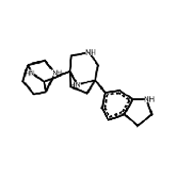 c1cc2c(cc1C13CCC(C4NC5CCC4NC5)(CNC1)N3)NCC2